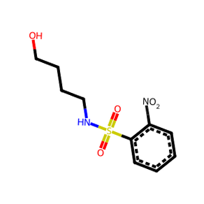 O=[N+]([O-])c1ccccc1S(=O)(=O)NCCCCO